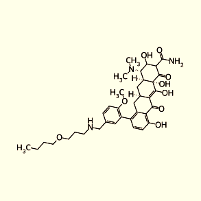 CCCCOCCCNCc1ccc(OC)c(-c2ccc(O)c3c2C[C@H]2C[C@H]4[C@H](N(C)C)C(O)C(C(N)=O)C(=O)[C@@]4(O)C(O)=C2C3=O)c1